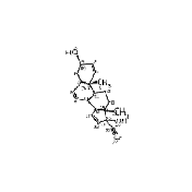 C[C@]12C=C[C@H](O)CC1C=CC1C2CC[C@@]2(C)C1C=C[C@@]2(O)[C]#[Cr]